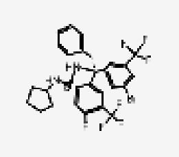 O=C(NC1CCCC1)N[C@@](Cc1ccccc1)(c1cc(Br)cc(C(F)(F)F)c1)c1ccc(F)c(C(F)(F)F)c1